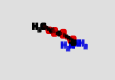 CCCCCCOc1ccc(OC(=O)C=Cc2ccc(C(=O)OCCCCCCCOC(=O)c3cc(N)cc(N)c3)cc2)cc1